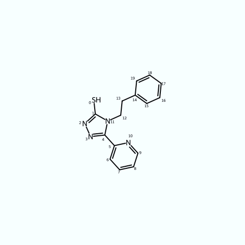 Sc1nnc(-c2ccccn2)n1CCc1ccccc1